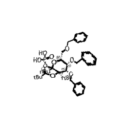 CCCC[C@@]1(OP(=O)(O)O)O[C@H](COCc2ccccc2)[C@H](OCc2ccccc2)[C@H](OCc2ccccc2)[C@@]1(CCCC)OC(=O)C(C)(C)C